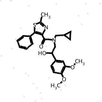 COc1ccc(C(O)CN(CC2CC2)C(=O)c2nc(C)sc2-c2ccccc2)cc1OC